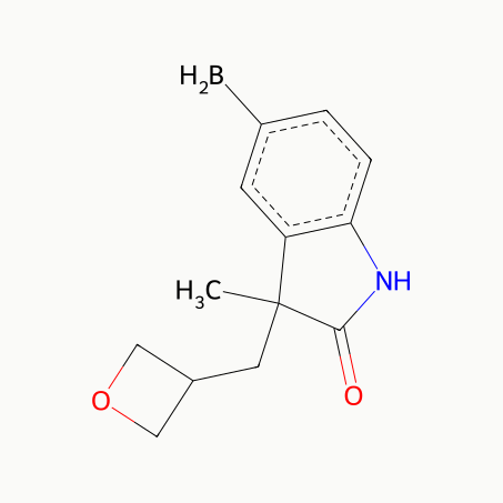 Bc1ccc2c(c1)C(C)(CC1COC1)C(=O)N2